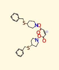 O=C(/C=C\C(=O)ON1CCC(SCc2ccccc2)CC1)ON1CCC(SCc2ccccc2)CC1